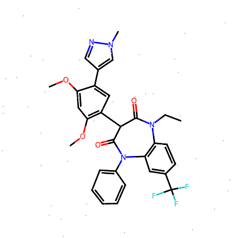 CCN1C(=O)C(c2cc(-c3cnn(C)c3)c(OC)cc2OC)C(=O)N(c2ccccc2)c2cc(C(F)(F)F)ccc21